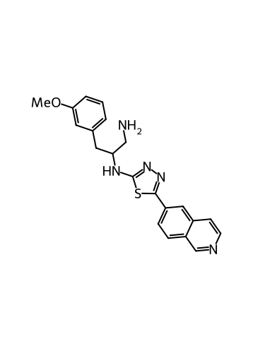 COc1cccc(CC(CN)Nc2nnc(-c3ccc4cnccc4c3)s2)c1